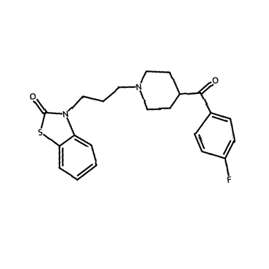 O=C(c1ccc(F)cc1)C1CCN(CCCn2c(=O)sc3ccccc32)CC1